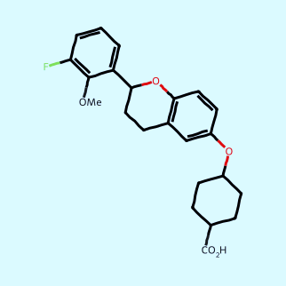 COc1c(F)cccc1C1CCc2cc(OC3CCC(C(=O)O)CC3)ccc2O1